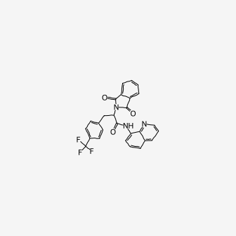 O=C(Nc1cccc2cccnc12)C(Cc1ccc(C(F)(F)F)cc1)N1C(=O)c2ccccc2C1=O